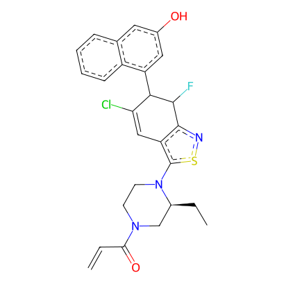 C=CC(=O)N1CCN(c2snc3c2C=C(Cl)C(c2cc(O)cc4ccccc24)C3F)[C@@H](CC)C1